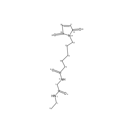 CCNC(=O)CNC(=O)CCCCCN1C(=O)C=CC1=O